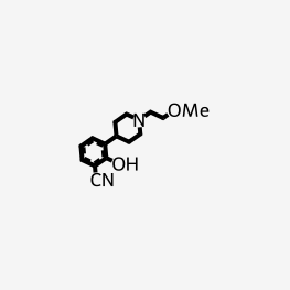 COCCN1CCC(c2cccc(C#N)c2O)CC1